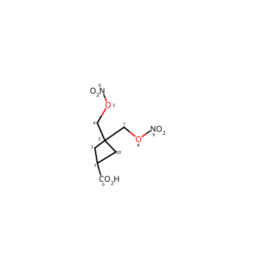 O=C(O)C1CC(CO[N+](=O)[O-])(CO[N+](=O)[O-])C1